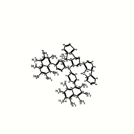 Bc1c(B)c(B)c2c(-c3ccc(N(c4ccc(-c5c(B)c(B)c(B)c6c(B)c(B)c(B)c(B)c56)cc4)c4cc(-c5cccc6c5oc5ccccc56)cc5c4C(C)(C)c4ccccc4-5)cc3)c(B)c(B)c(B)c2c1B